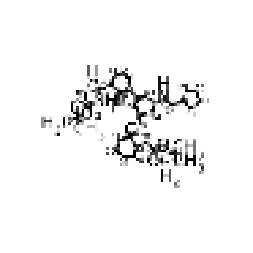 C[C@H](NC(=O)OC(C)(C)C)c1cccc(-c2cc(COc3ccccc3CC(=O)OC(C)(C)C)cc(NCC3CCCC3)c2)c1F